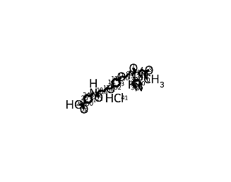 CN1C(=O)C[C@H](C(=O)NCCOC2CCC(OCCCC(=O)NC3CCC(C(=O)O)CC3)CC2)[C@H]1c1cccnc1.Cl